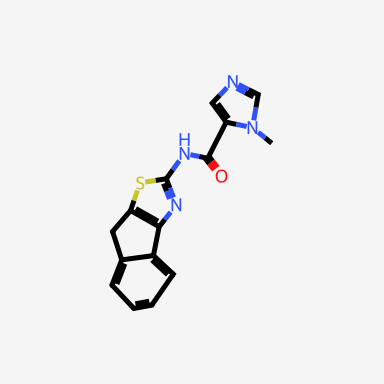 Cn1cncc1C(=O)Nc1nc2c(s1)Cc1ccccc1-2